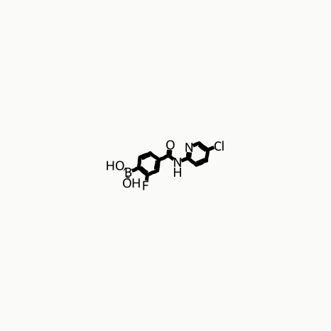 O=C(Nc1ccc(Cl)cn1)c1ccc(B(O)O)c(F)c1